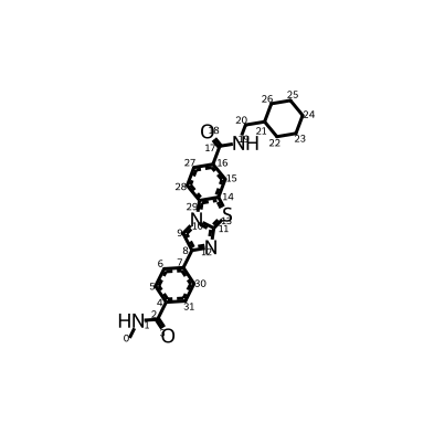 CNC(=O)c1ccc(-c2cn3c(n2)sc2cc(C(=O)NCC4CCCCC4)ccc23)cc1